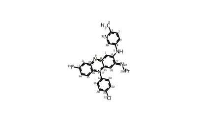 Cc1ccc(Nc2cc3nc4cc(F)ccc4n(-c4ccc(Cl)cc4)c-3c/c2=N\C(C)C)cn1